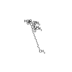 CCCCCCCCCCCCCCCCC(CC(COP(=O)([O-])O)[N+](CC)(CC)CC)OC(C)=O